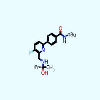 CCCCNC(=O)c1ccc(-c2ccc(F)c(CN[C@](C)(O)C(C)C)n2)cc1